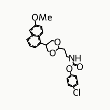 COc1ccc2c(C3COC(CCNC(=O)Oc4ccc(Cl)cc4)OC3)cccc2c1